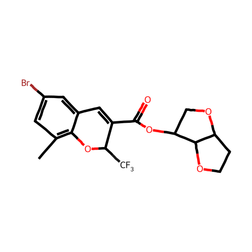 Cc1cc(Br)cc2c1OC(C(F)(F)F)C(C(=O)OC1COC3CCOC31)=C2